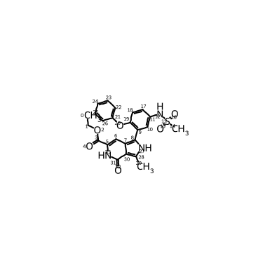 CCOC(=O)c1cc2c(-c3cc(NS(C)(=O)=O)ccc3Oc3ccccc3)[nH]c(C)c2c(=O)[nH]1